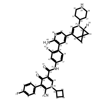 N#Cc1c(-c2ccc(F)cc2)c(=O)c(C(=O)Nc2ccc(-c3cc(C4=CN(C5CCNCC5)[C@@H]5CC56CC46)cnc3N)c(F)c2)cn1C1CCC1